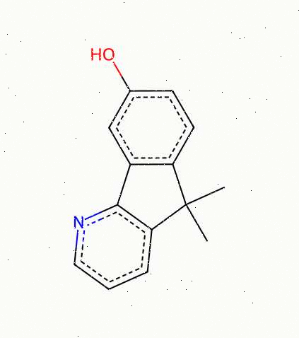 CC1(C)c2ccc(O)cc2-c2ncccc21